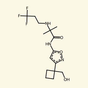 CC(C)(NCCC(F)(F)F)C(=O)Nc1cc(C2(CO)CCC2)no1